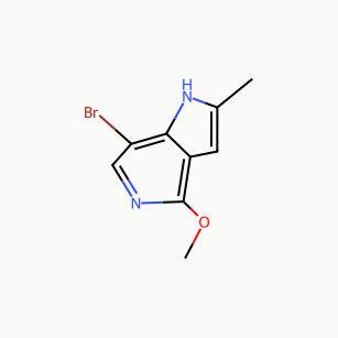 COc1ncc(Br)c2[nH]c(C)cc12